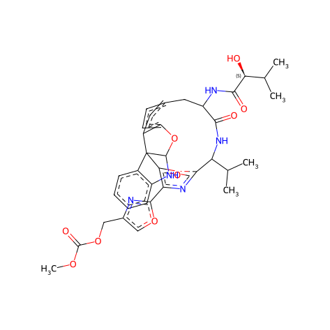 COC(=O)OCc1coc(-c2nc3oc2C24c5ccccc5NC2Oc2ccc(cc24)CC(NC(=O)[C@@H](O)C(C)C)C(=O)NC3C(C)C)n1